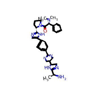 C[C@H](N)c1ncc(-c2cnc(-c3ccc(-c4cnc([C@@H]5CCCN5C(=O)[C@@H](c5ccccc5)N(C)C)[nH]4)cc3)nc2)[nH]1